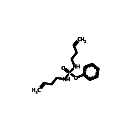 C=CCCNP(=O)(NCCC=C)Oc1ccccc1